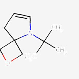 CC(C)(C)N1C=CCC12COC2